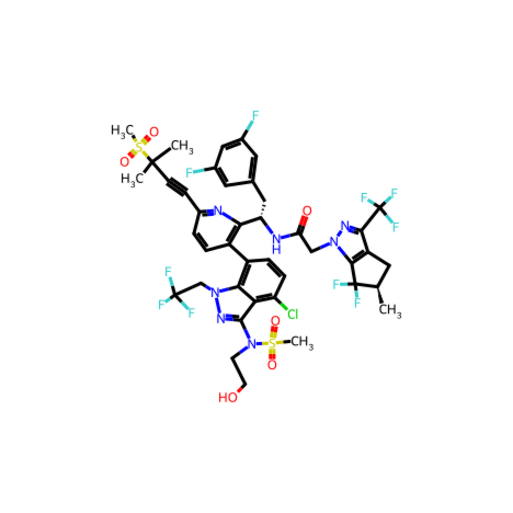 C[C@@H]1Cc2c(C(F)(F)F)nn(CC(=O)N[C@@H](Cc3cc(F)cc(F)c3)c3nc(C#CC(C)(C)S(C)(=O)=O)ccc3-c3ccc(Cl)c4c(N(CCO)S(C)(=O)=O)nn(CC(F)(F)F)c34)c2C1(F)F